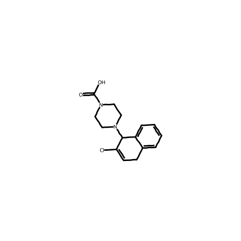 O=C(O)N1CCN(C2C(Cl)=CCc3ccccc32)CC1